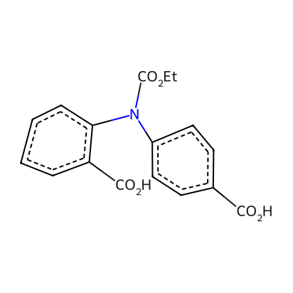 CCOC(=O)N(c1ccc(C(=O)O)cc1)c1ccccc1C(=O)O